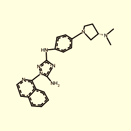 CN(C)[C@H]1CCN(c2ccc(Nc3nc(N)n(-c4nccc5ccccc45)n3)cc2)C1